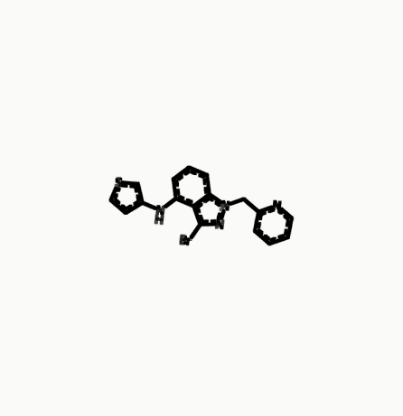 Brc1nn(Cc2ccccn2)c2cccc(Nc3ccsc3)c12